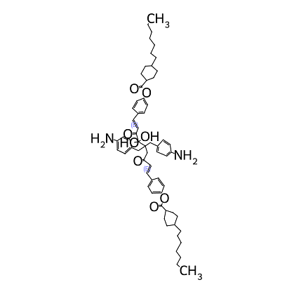 CCCCCCCC1CCC(C(=O)Oc2ccc(/C=C/C(=O)CC(Cc3ccc(N)cc3)(Cc3ccc(N)cc3)C(O)(O)C(=O)/C=C/c3ccc(OC(=O)C4CCC(CCCCCCC)CC4)cc3)cc2)CC1